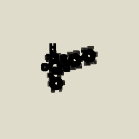 O=C(NCc1ccccc1)c1n[nH]cc1NS(=O)(=O)c1ccc(-c2ccccc2)cc1